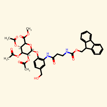 COC(=O)C1O[C@@H](Oc2ccc(CO)cc2NC(=O)CCNC(=O)OCC2c3ccccc3-c3ccccc32)[C@@H](OC(C)=O)C(OC(C)=O)[C@@H]1OC(C)=O